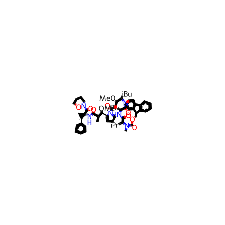 CCC(C)C(C(CC(=O)N1CCC[C@H]1C(OC)C(C)C(=O)N[C@@]1(C(=O)N2CCCCO2)C[C@@H]1c1ccccc1)OC)N(C)C(=O)C(NC(=O)C(C(C)C)N(C)C(=O)OCC1c2ccccc2-c2ccccc21)C(C)C